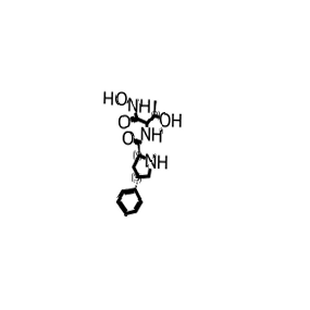 C[C@@H](O)C(NC(=O)[C@@H]1C[C@@H](c2ccccc2)CN1)C(=O)NO